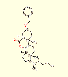 CC(C)CCC[C@@H](C)[C@H]1CC[C@H]2C3=C(CC[C@]12C)[C@@]1(C)CC[C@H](OCc2ccccc2)C[C@@H]1C(=O)O3